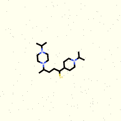 CC(C)N1CCC(C(S)CCC(C)N2CCN(C(C)C)CC2)CC1